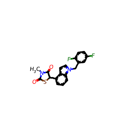 CN1C(=O)SC(c2cccc3c2ccn3Cc2cc(F)ccc2F)C1=O